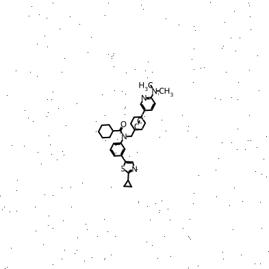 CN(C)c1ccc(C23CCC(CN(C(=O)C4CC[CH]CC4)c4cccc(-c5cnc(C6CC6)s5)c4)(CC2)CC3)cn1